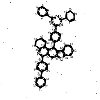 C1=CC(c2nc(-c3ccccc3)nc(-c3ccc(-c4c5c6c(nc(-c7ccc(-c8ccccc8)cc7)c5cc5oc7ccccc7c45)CCC=C6)cc3)n2)=CCC1